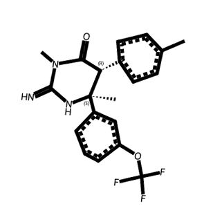 Cc1ccc([C@H]2C(=O)N(C)C(=N)N[C@]2(C)c2cccc(OC(F)(F)F)c2)cc1